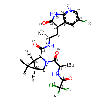 CC(C)(C)C(NC(=O)C(F)(F)Cl)C(=O)N1C[C@H]2[C@@H]([C@H]1C(=O)N[C@H](C#N)CC1C(=O)Nc3ncc(F)cc31)C2(C)C